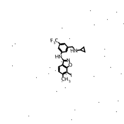 Cc1ccc2c(Nc3cc(CNC4CC4)cc(C(F)(F)F)c3)noc2c1I